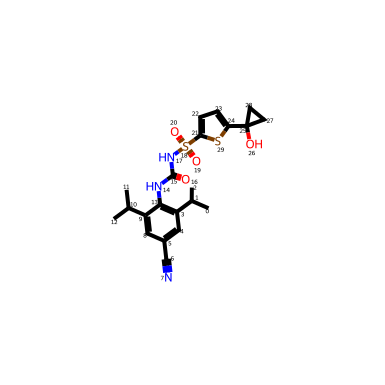 CC(C)c1cc(C#N)cc(C(C)C)c1NC(=O)NS(=O)(=O)c1ccc(C2(O)CC2)s1